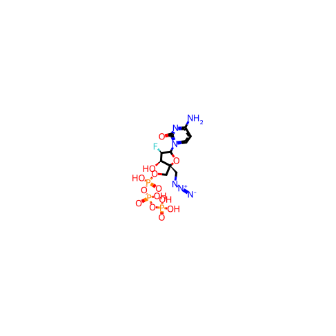 [N-]=[N+]=NC[C@]1(COP(=O)(O)OP(=O)(O)OP(=O)(O)O)OC(n2ccc(N)nc2=O)[C@H](F)[C@@H]1O